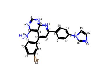 Nc1ncnc2nc(-c3ccc(-n4ccnc4)cc3)cc(-c3cccc(Br)c3)c12